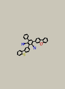 N#Cc1c(-c2ccccc2)cc(-c2ccc3c(c2)oc2ccccc23)c(C#N)c1-c1ccc2sc3ccccc3c2c1